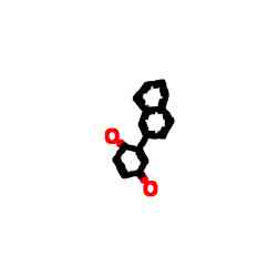 O=C1C=CC(=O)C(c2ccc3ccccc3c2)=C1